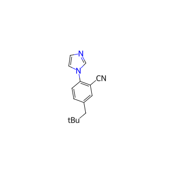 CC(C)(C)Cc1ccc(-n2ccnc2)c(C#N)c1